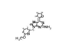 COc1cccc(Cn2nnc3c(-c4ccco4)nc(N)nc32)n1